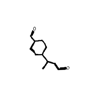 CC(CC=O)C1CCC(C=O)CC1